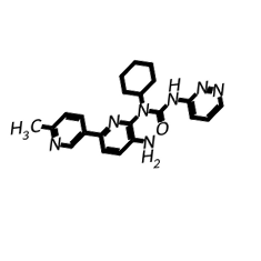 Cc1ccc(-c2ccc(N)c(N(C(=O)Nc3cccnn3)C3CCCCC3)n2)cn1